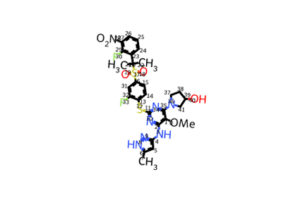 COc1c(Nc2cc(C)[nH]n2)nc(Sc2ccc(S(=O)(=O)C(C)(C)c3cccc([N+](=O)[O-])c3F)cc2F)nc1N1CCC(O)C1